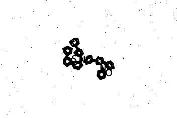 c1ccc(-c2ccc(N(c3ccc(-c4ccc5c6cccc7c6n(c5c4)-c4ccccc4O7)cc3)c3cccc4c3sc3c(-c5ccccc5)cccc34)cc2)cc1